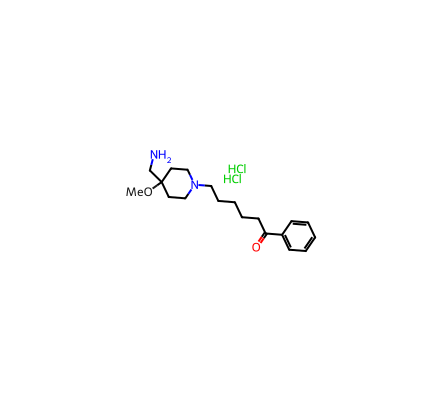 COC1(CN)CCN(CCCCCC(=O)c2ccccc2)CC1.Cl.Cl